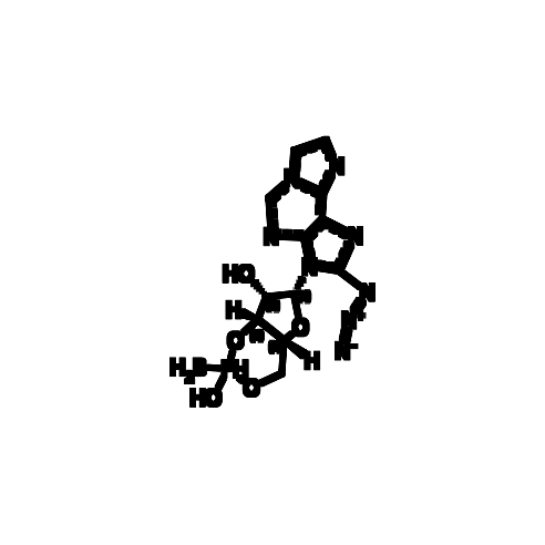 B[PH]1(O)OC[C@H]2O[C@@H](n3c(N=[N+]=[N-])nc4c3ncn3ccnc43)[C@@H](O)[C@H]2O1